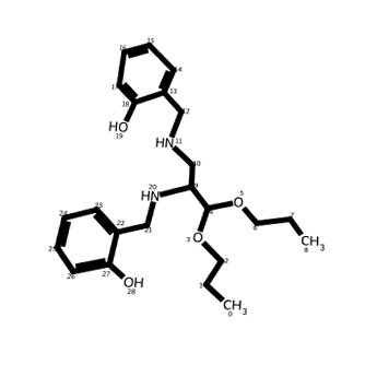 CCCOC(OCCC)C(CNCc1ccccc1O)NCc1ccccc1O